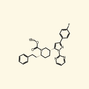 CC(C)(C)OC(=O)N1C[C@H](c2cc(-c3ccc(F)cc3)nn2-c2ncccn2)CC[C@@H]1CCc1ccccc1